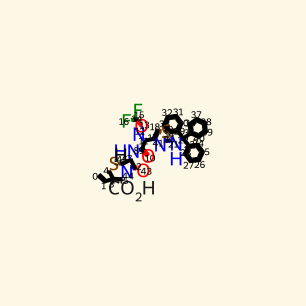 C=CC1(C(=O)O)CS[C@@H]2C(NC(=O)C(=NOC(F)F)c3csc(NC(c4ccccc4)(c4ccccc4)c4ccccc4)n3)C(=O)N2C1